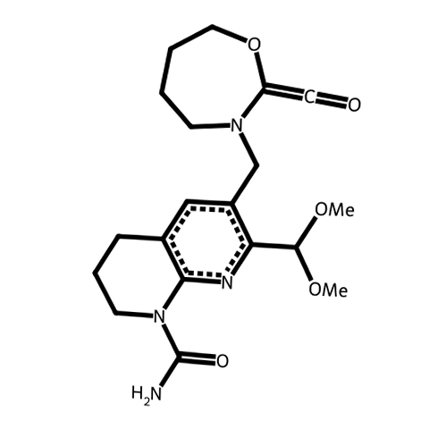 COC(OC)c1nc2c(cc1CN1CCCCOC1=C=O)CCCN2C(N)=O